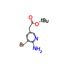 CC(C)(C)OC(=O)Cc1cnc(N)c(Br)c1